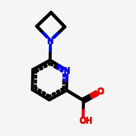 O=C(O)c1cccc(N2CCC2)n1